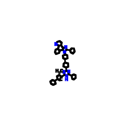 CN1C(c2ccc(-c3ccc(-n4c(-c5ccccc5)nc5c6cccnc6c6ccccc6c54)cc3)cc2)N=C(c2ccccc2)NC1c1ccc(-c2ccccc2)cc1